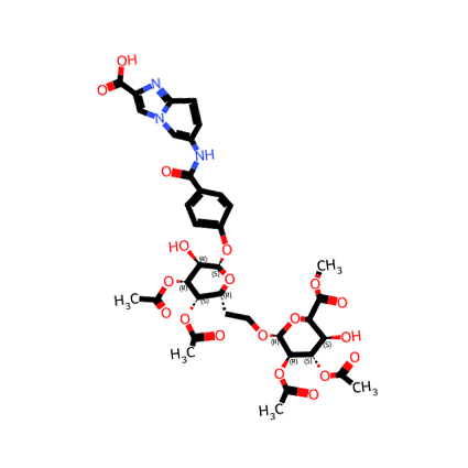 COC(=O)C1O[C@@H](OCC[C@H]2O[C@@H](Oc3ccc(C(=O)Nc4ccc5nc(C(=O)O)cn5c4)cc3)[C@H](O)[C@@H](OC(C)=O)[C@H]2OC(C)=O)[C@H](OC(C)=O)[C@@H](OC(C)=O)[C@@H]1O